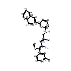 C=N/C(=C(F)\C=C(/C)CNc1nccc(-c2cc3cccnc3cn2)n1)c1ccnc(C)c1